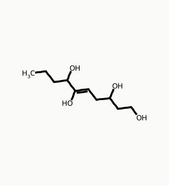 CCCC(O)C(O)=CCC(O)CCO